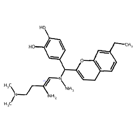 CCc1ccc2c(c1)OC(C(c1ccc(O)c(O)c1)N(N)/C=C(\N)CCN(C)C)=CC2